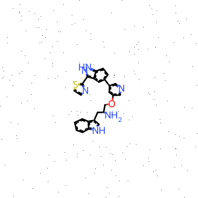 N[C@H](COc1cncc(-c2ccc3[nH]nc(-c4nccs4)c3c2)c1)Cc1c[nH]c2ccccc12